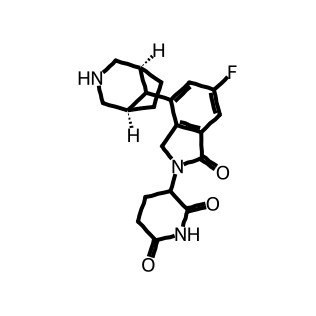 O=C1CCC(N2Cc3c(cc(F)cc3C3[C@@H]4CC[C@H]3CNC4)C2=O)C(=O)N1